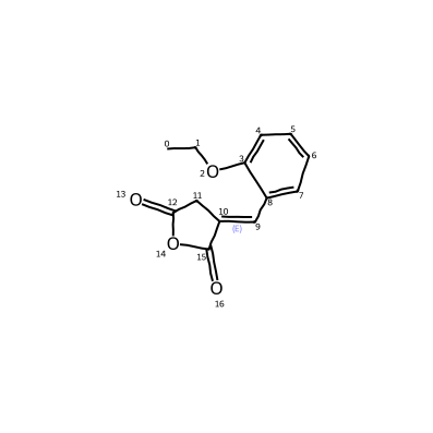 CCOc1ccccc1/C=C1\CC(=O)OC1=O